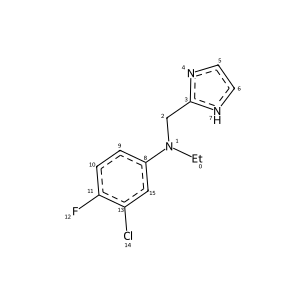 CCN(Cc1ncc[nH]1)c1ccc(F)c(Cl)c1